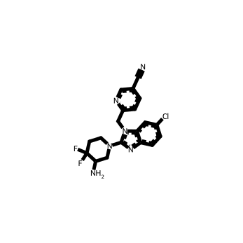 N#Cc1ccc(Cn2c(N3CCC(F)(F)C(N)C3)nc3ccc(Cl)cc32)nc1